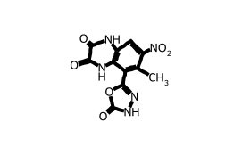 Cc1c([N+](=O)[O-])cc2[nH]c(=O)c(=O)[nH]c2c1-c1n[nH]c(=O)o1